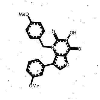 COc1ccc(Cn2c(=O)n(O)c(=O)c3occ(-c4cccc(OC)c4)c32)cc1